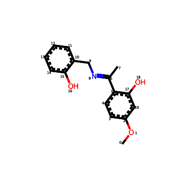 COc1ccc(C(C)=NCc2ccccc2O)c(O)c1